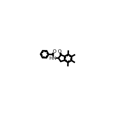 Cc1c(C)c(C)c2c(c1C)CC(NC(=O)c1ccccc1)C2=O